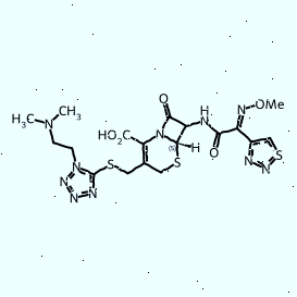 CON=C(C(=O)NC1C(=O)N2C(C(=O)O)=C(CSc3nnnn3CCN(C)C)CS[C@@H]12)c1csnn1